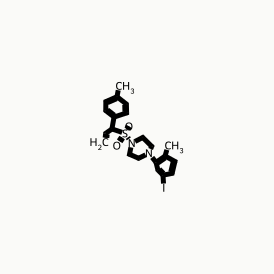 C=CC(c1ccc(C)cc1)S(=O)(=O)N1CCN(c2cc(I)ccc2C)CC1